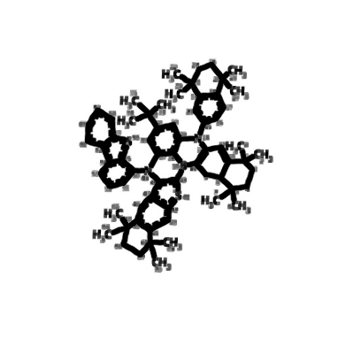 CC1(C)CCC(C)(C)C2CC3=C(C=C21)N(c1ccc2c(c1)C(C)(C)CCC2(C)C)c1cc(C(C)(C)C)cc2c1B3c1sc3cc4c(cc3c1N2c1cccc2c1sc1ccccc12)C(C)(C)CCC4(C)C